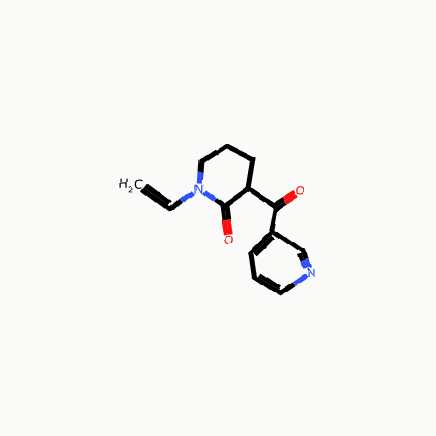 C=CN1CCCC(C(=O)c2cccnc2)C1=O